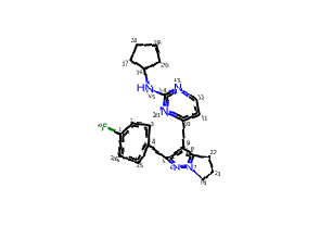 Fc1ccc(-c2nn3c(c2-c2ccnc(NC4CCCC4)n2)CCC3)cc1